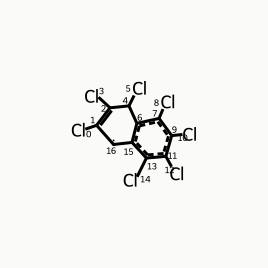 ClC1=C(Cl)C(Cl)c2c(Cl)c(Cl)c(Cl)c(Cl)c2[CH]1